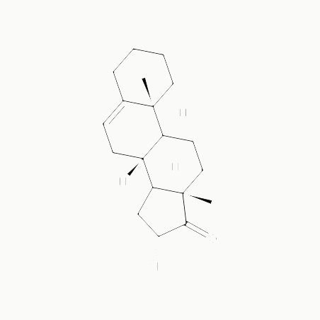 C[C@]12CCCCC1=CC[C@@H]1[C@@H]2CC[C@]2(C)C(=O)[C@H](Cl)C[C@@H]12